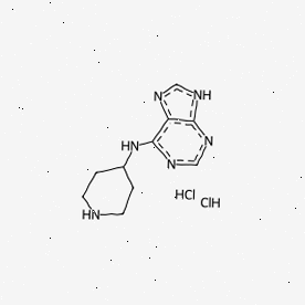 Cl.Cl.c1nc(NC2CCNCC2)c2nc[nH]c2n1